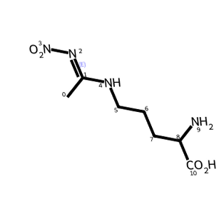 C/C(=N\[N+](=O)[O-])NCCCC(N)C(=O)O